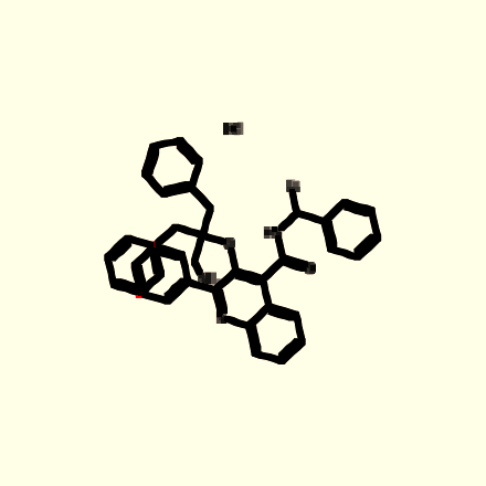 CCC(NC(=O)c1c(OC(CN)(Cc2ccccc2)Cc2ccccc2)c(-c2ccccc2)nc2ccccc12)c1ccccc1.Cl